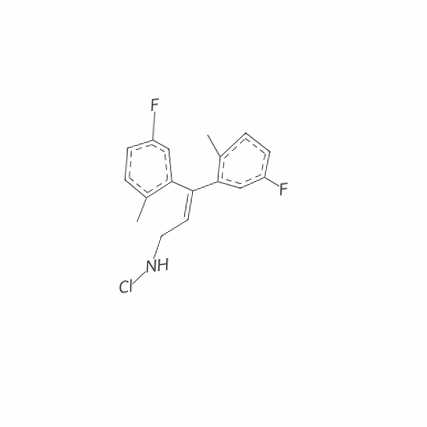 Cc1ccc(F)cc1C(=CCNCl)c1cc(F)ccc1C